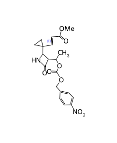 COC(=O)/C=C/C1(C2NC(=O)C2C(C)OC(=O)OCc2ccc([N+](=O)[O-])cc2)CC1